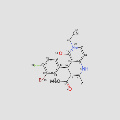 COC(=O)C1=C(C)Nc2ccn(CC#N)c(=O)c2C1c1ccc(F)c(Br)c1